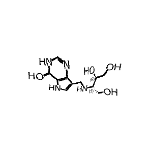 OC[C@H](NCc1c[nH]c2c1N=CNC2O)[C@@H](O)CO